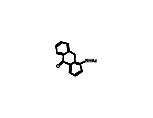 CC(=O)Nc1cccc2c1Cc1ccccc1C2=O